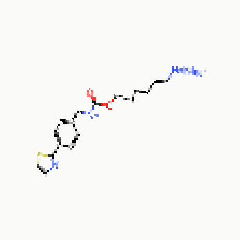 [N-]=[N+]=NCCCCCCOC(=O)NCc1ccc(-c2nccs2)cc1